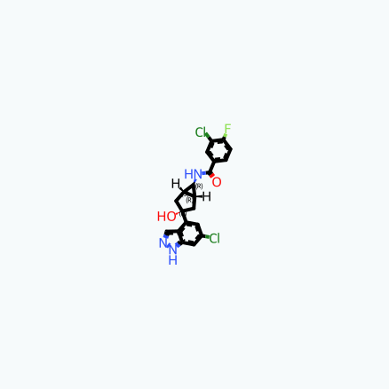 O=C(N[C@H]1[C@@H]2C[C@@](O)(c3cc(Cl)cc4[nH]ncc34)C[C@@H]21)c1ccc(F)c(Cl)c1